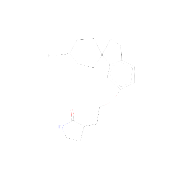 O=C(O)C1CCC2(CCc3ccc(OCCC4CCNC4=O)cc32)CC1